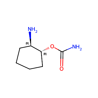 NC(=O)O[C@@H]1CCCC[C@H]1N